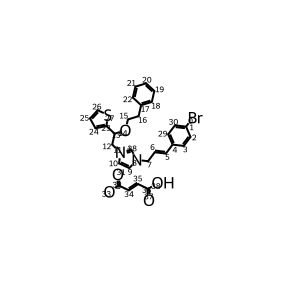 Brc1ccc(C=CCn2cc[n+](CC(OCCc3ccccc3)c3cccs3)c2)cc1.O=C([O-])C=CC(=O)O